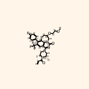 C=CC(=O)N1[C@H](C)CN(c2nc(=O)n3c4c(c(-c5ccc(F)cc5)c(C(F)(F)F)cc24)SC[C@H](OCCOC)C3)C[C@@H]1C